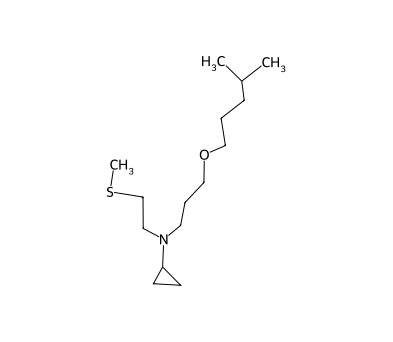 CSCCN(CCCOCCCC(C)C)C1CC1